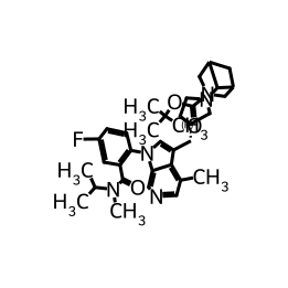 Cc1cncc2c1c(C[C@@H]1CCN(C3C4CC3CN(C(=O)OC(C)(C)C)C4)C1)cn2-c1ccc(F)cc1C(=O)N(C)C(C)C